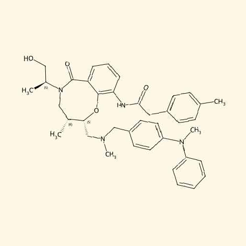 Cc1ccc(CC(=O)Nc2cccc3c2O[C@H](CN(C)Cc2ccc(N(C)c4ccccc4)cc2)[C@H](C)CN([C@@H](C)CO)C3=O)cc1